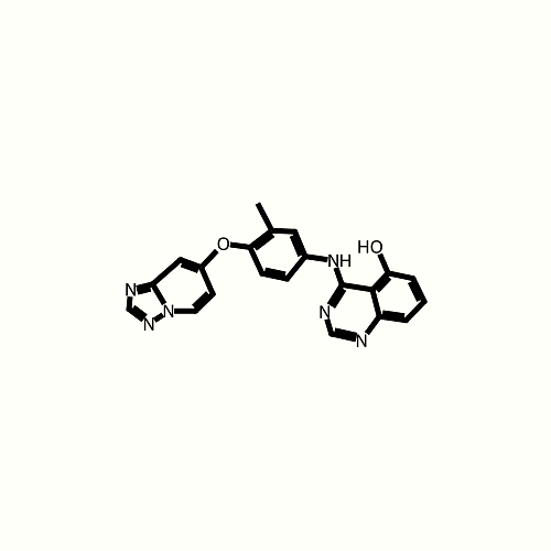 Cc1cc(Nc2ncnc3cccc(O)c23)ccc1Oc1ccn2ncnc2c1